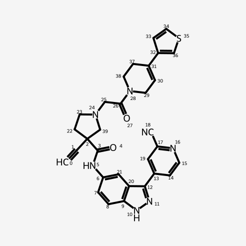 C#CC1(C(=O)Nc2ccc3[nH]nc(-c4ccnc(C#N)c4)c3c2)CCN(CC(=O)N2CC=C(c3ccsc3)CC2)C1